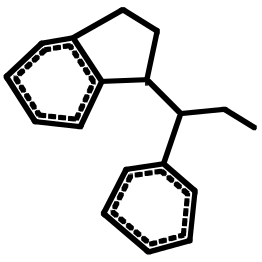 CCC([C]1CCc2ccccc21)c1ccccc1